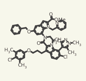 COC(=O)c1cc2cc(OCc3ccccc3)cc(N3C[C@@H](C)n4c(c(CCCOc5cc(C)c(Cl)c(C)c5)c5ccc(Cl)c(-c6c(C)nn(C)c6C)c54)C3=O)c2n1Cc1ccccn1